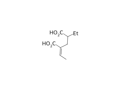 C/C=C(\CC(CC)C(=O)O)C(=O)O